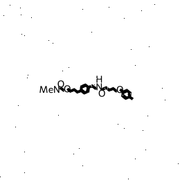 CNC(=O)COCCCc1ccc(CCNC(=O)CCCCOc2ccc(C)cc2)cc1